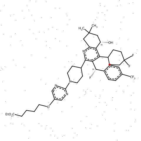 CCOC(=O)CCCCOc1cnc(N2CCC(c3nc4c(c(C5CCC(F)(F)CC5)c3[C@@H](F)c3ccc(C(F)(F)F)cc3)[C@@H](O)CC(C)(C)C4)CC2)nc1